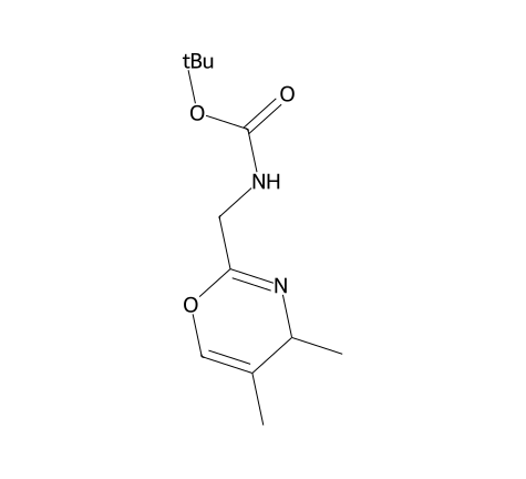 CC1=COC(CNC(=O)OC(C)(C)C)=NC1C